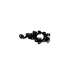 CCn1c(-c2cncnc2)c2c3cc(ccc31)-c1csc(n1)C[C@H](NC(=O)[C@H](C(C)C)N(C)C(=O)[C@@]1(O)CCN(C(=O)C#CCN3CCOCC3)C1)C(=O)N1CCC[C@@](O)(N1)C(=O)OCC(C)(C)C2